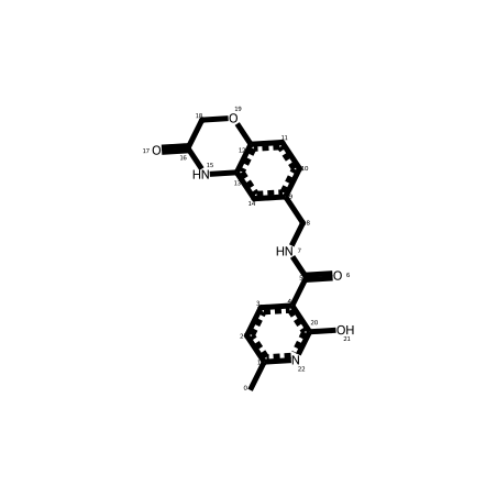 Cc1ccc(C(=O)NCc2ccc3c(c2)NC(=O)CO3)c(O)n1